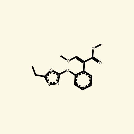 CCc1nnc(Oc2ccccc2/C(=C\OC)C(=O)OC)s1